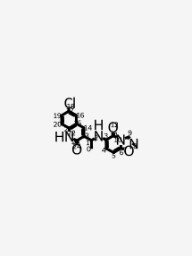 CC(Nc1ccc2oncn2c1=O)c1cc2cc(Cl)ccc2[nH]c1=O